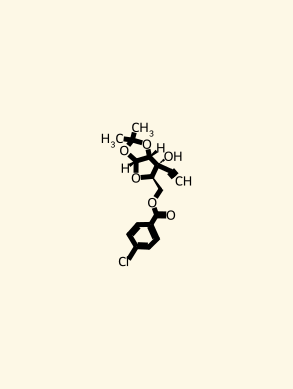 C#C[C@@]1(O)[C@@H](COC(=O)c2ccc(Cl)cc2)O[C@@H]2OC(C)(C)O[C@@H]21